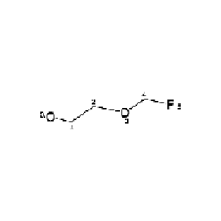 [O]CCOCF